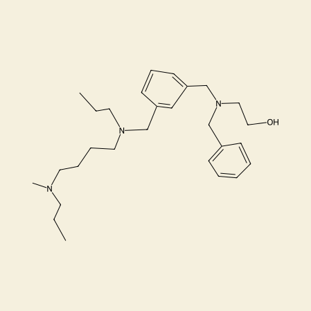 CCCN(C)CCCCN(CCC)Cc1cccc(CN(CCO)Cc2ccccc2)c1